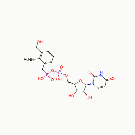 CC(=O)Nc1c(CO)cccc1CP(=O)(O)OP(=O)(O)OC[C@H]1O[C@@H](n2ccc(=O)[nH]c2=O)[C@@H](O)C1O